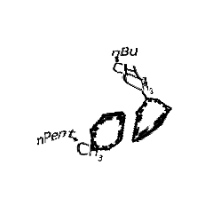 CCCCC.CCCCCC.Cc1ccccc1.c1ccccc1